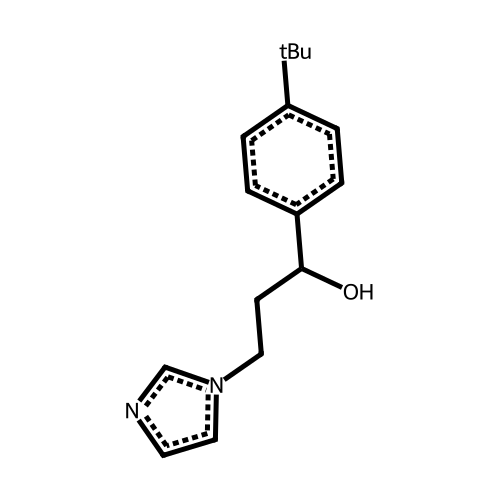 CC(C)(C)c1ccc(C(O)CCn2ccnc2)cc1